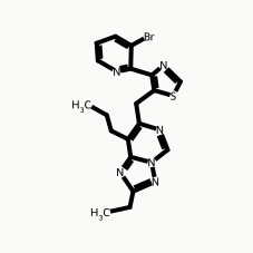 CCCc1c(Cc2scnc2-c2ncccc2Br)ncn2nc(CC)nc12